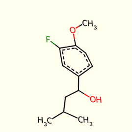 COc1ccc(C(O)CC(C)C)cc1F